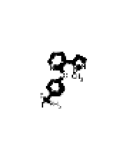 Cn1nccc1-c1cccnc1Oc1ccc(C(F)(F)P)cc1